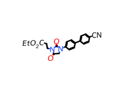 CCOC(=O)CCN1C(=O)CN(c2ccc(-c3ccc(C#N)cc3)cc2)C1=O